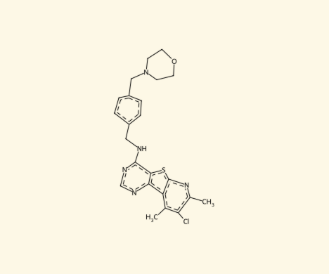 Cc1nc2sc3c(NCc4ccc(CN5CCOCC5)cc4)ncnc3c2c(C)c1Cl